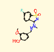 COc1cc(/C=N/N(C)C2=NS(=O)(=O)c3cc(F)ccc32)ccc1O